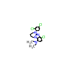 CCN(CC)c1ccc(Cl)c2nc3n(c12)CCCCN3C1CC=C(Cl)C=C1Cl